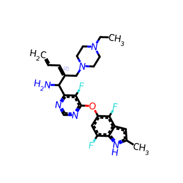 C=C/C=C(/CN1CCN(CC)CC1)C(N)c1ncnc(Oc2cc(F)c3[nH]c(C)cc3c2F)c1F